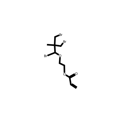 C=CC(=O)OCCOC(Br)C(C)(CBr)CBr